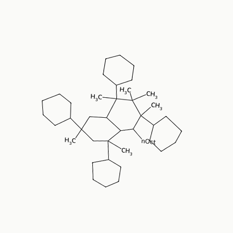 CCCCCCCCC1C2C(CC(C)(C3CCCCC3)CC2(C)C2CCCCC2)C(C)(C2CCCCC2)C(C)(C)C1(C)C1CCCCC1